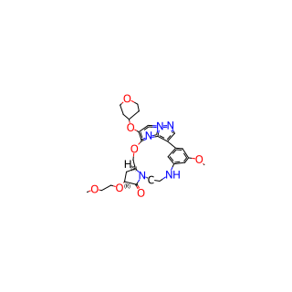 COCCO[C@@H]1C[C@H]2COc3nc4c(cnn4cc3OC3CCOCC3)-c3cc(cc(OC)c3)NCCN2C1=O